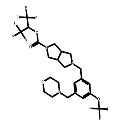 O=C(OC(C(F)(F)F)C(F)(F)F)N1CC2CN(Cc3cc(CN4CCOCC4)cc(OC(F)(F)F)c3)CC2C1